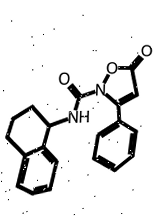 O=C(NC1CCCc2ccccc21)n1oc(=O)cc1-c1ccccc1